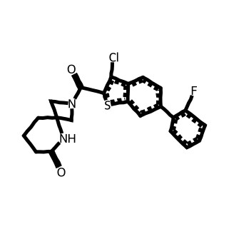 O=C1CCCC2(CN(C(=O)c3sc4cc(-c5ccccc5F)ccc4c3Cl)C2)N1